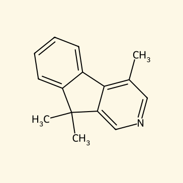 Cc1cncc2c1-c1ccccc1C2(C)C